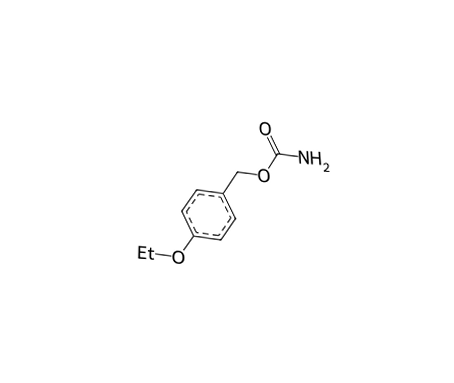 CCOc1ccc(COC(N)=O)cc1